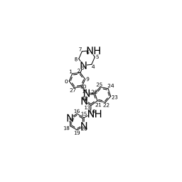 c1cc(N2CCNCC2)cc(-n2nc(Nc3cnccn3)c3ccccc32)c1